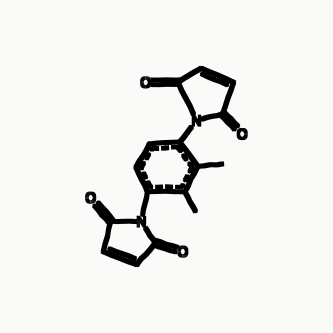 Cc1c(N2C(=O)C=CC2=O)ccc(N2C(=O)C=CC2=O)c1C